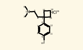 CN(C)CCC1(c2ccc(I)cc2)CCC1.Cl